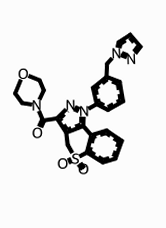 O=C(c1nn(-c2cccc(Cn3cccn3)c2)c2c1CS(=O)(=O)c1ccccc1-2)N1CCOCC1